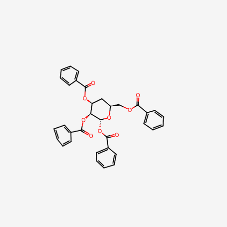 O=C(OC[C@@H]1C[C@H](OC(=O)c2ccccc2)[C@H](OC(=O)c2ccccc2)[C@@H](OC(=O)c2ccccc2)O1)c1ccccc1